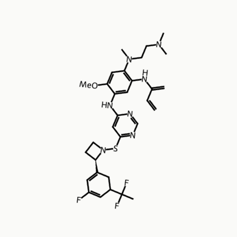 C=CC(=C)Nc1cc(Nc2cc(SN3CC[C@@H]3C3=CC(F)=CC(C(C)(F)F)C3)ncn2)c(OC)cc1N(C)CCN(C)C